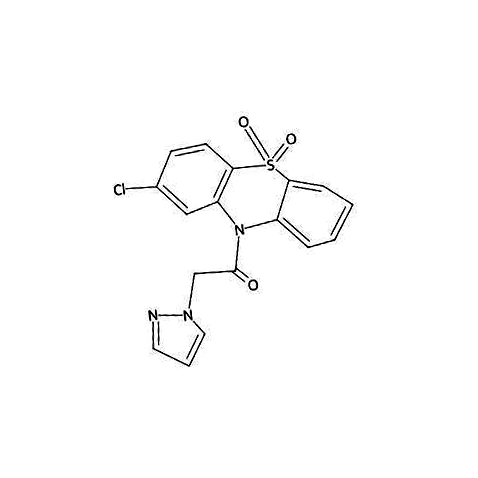 O=C(Cn1cccn1)N1c2ccccc2S(=O)(=O)c2ccc(Cl)cc21